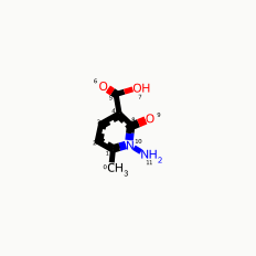 Cc1ccc(C(=O)O)c(=O)n1N